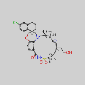 C[C@@H]1[C@@H](C)C[C@H](CCO)/C=C/[C@@H]2CC[C@H]2CN2C[C@@]3(CCCc4cc(Cl)ccc43)COc3ccc(cc32)C(=O)NS1(=O)=O